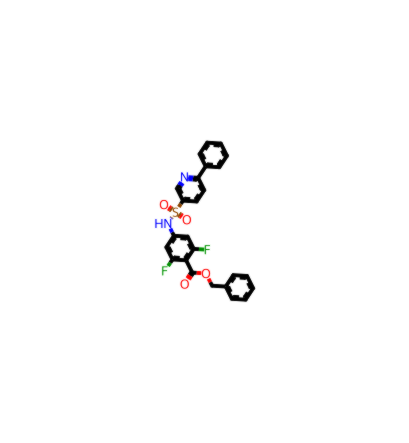 O=C(OCc1ccccc1)c1c(F)cc(NS(=O)(=O)c2ccc(-c3ccccc3)nc2)cc1F